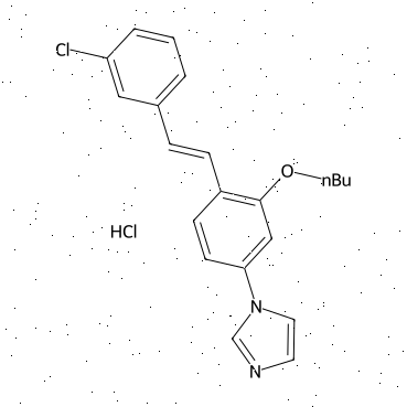 CCCCOc1cc(-n2ccnc2)ccc1C=Cc1cccc(Cl)c1.Cl